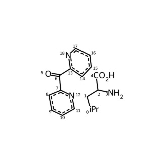 CC(C)CC(N)C(=O)O.O=C(c1ccccn1)c1ccccn1